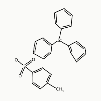 Cc1ccc(S(=O)(=O)[O-])cc1.c1ccc([S+](c2ccccc2)c2ccccc2)cc1